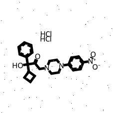 Cl.Cl.O=C(CN1CCN(c2ccc([N+](=O)[O-])cc2)CC1)C(O)(c1ccccc1)C1CCC1